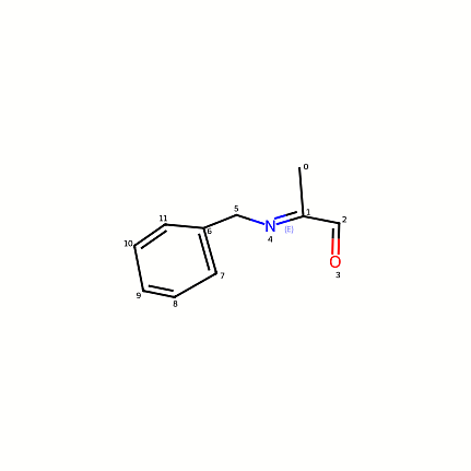 C/C(C=O)=N\Cc1ccccc1